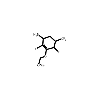 BC1CC(C(F)(F)F)C(F)C(OCOC)=C1F